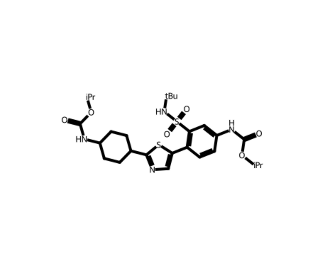 CC(C)OC(=O)Nc1ccc(-c2cnc(C3CCC(NC(=O)OC(C)C)CC3)s2)c(S(=O)(=O)NC(C)(C)C)c1